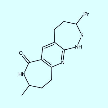 CC1CCc2nc3c(cc2C(=O)N1)CCC(C(C)C)SN3